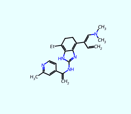 C=C/C(=C\N(C)C)C1=c2nc(NC(=C)c3ccnc(C)c3)[nH]c2=C(CC)CC1